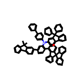 CC1(C)c2ccccc2-c2ccc(-c3ccc(-c4cccc5c4-c4ccccc4C54c5ccccc5-c5ccccc54)c(N(c4ccc(-c5ccccc5)cc4)c4ccc5c(c4)C(c4ccccc4)(c4ccccc4)c4ccccc4-5)c3)cc21